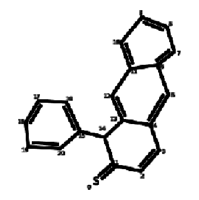 S=C1C=Cc2cc3ccccc3cc2C1c1ccccc1